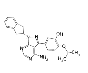 CC(C)Oc1ccc(-c2nn(C3Cc4ccccc4C3)c3ncnc(N)c23)cc1O